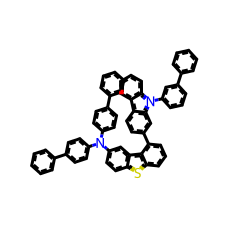 c1ccc(-c2ccc(N(c3ccc(-c4ccccc4)cc3)c3ccc4sc5cccc(-c6ccc7c8ccccc8n(-c8cccc(-c9ccccc9)c8)c7c6)c5c4c3)cc2)cc1